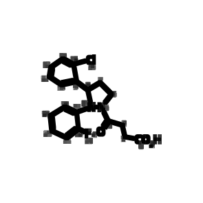 O=C(O)CCC(=O)N1CCC(c2ccccc2Cl)N1c1ccccc1F